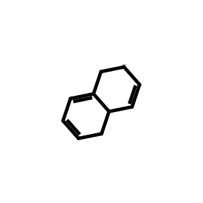 [C]1C=CC2CC=CC=C2C1